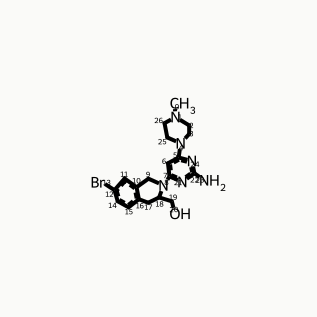 CN1CCN(c2cc(N3Cc4cc(Br)ccc4CC3CO)nc(N)n2)CC1